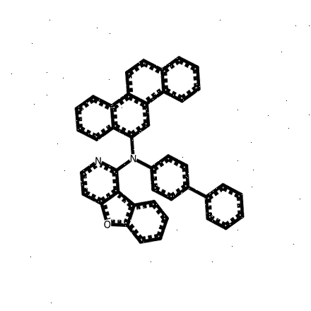 c1ccc(-c2ccc(N(c3cc4c5ccccc5ccc4c4ccccc34)c3nccc4oc5ccccc5c34)cc2)cc1